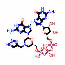 CN1CN([C@H]2CN(Cc3c[nH]nn3)C[C@@H](COP(=O)(O)OP(=O)(O)OP(=O)(O)OC[C@H]3O[C@@H](n4cnc5c(=O)[nH]c(N)nc54)[C@H](O)[C@@H]3O)O2)c2nc(N)[nH]c(=O)c21